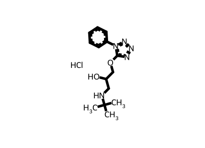 CC(C)(C)NCC(O)COc1nnnn1-c1ccccc1.Cl